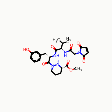 COC(=O)[C@@H]1CCCN(C(=O)[C@H](Cc2cccc(O)c2)NC(=O)[C@@H](NC(=O)CN2C(=O)C=CC2=O)C(C)C)N1